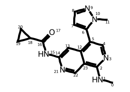 CNc1ncc(-c2ccnn2C)c2cc(NC(=O)C3CC3)ncc12